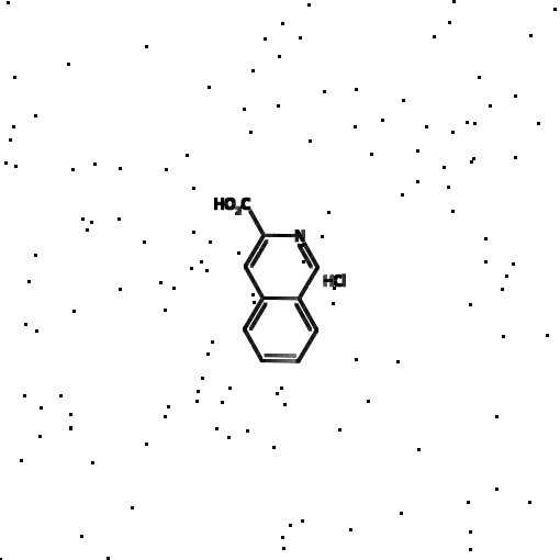 Cl.O=C(O)c1cc2ccccc2cn1